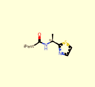 CCCC(C)C(=O)N[C@@H](C)c1nccs1